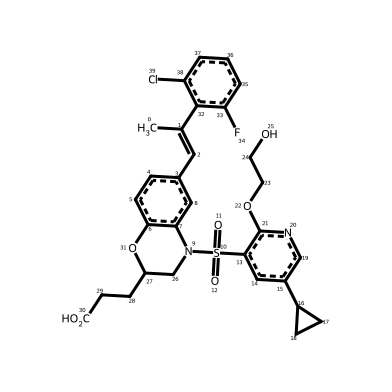 CC(=Cc1ccc2c(c1)N(S(=O)(=O)c1cc(C3CC3)cnc1OCCO)CC(CCC(=O)O)O2)c1c(F)cccc1Cl